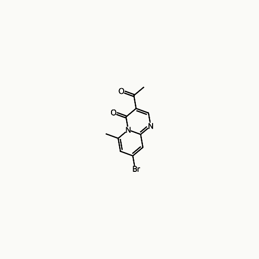 CC(=O)c1cnc2cc(Br)cc(C)n2c1=O